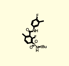 Cc1cc(NC(=O)c2c(C)ccc(S(=O)(=O)NC(C)(C)C)c2F)ccc1F